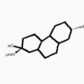 CCCCCC[C@@]1(C#N)CCC2C(CCC3C[C@@H](CCCC)CCC32)C1